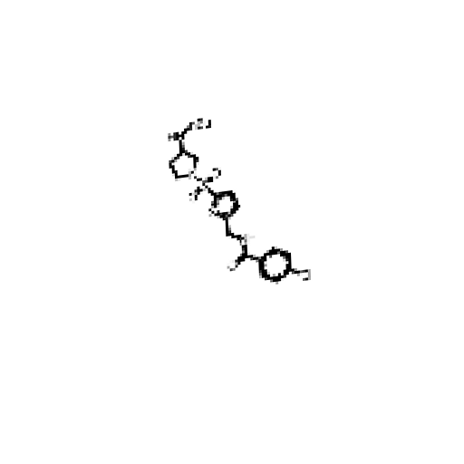 CCCCNC1CCN(S(=O)(=O)c2ccc(CNC(=O)c3ccc(Cl)cc3)s2)C1